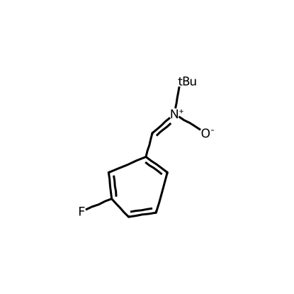 CC(C)(C)[N+]([O-])=Cc1cccc(F)c1